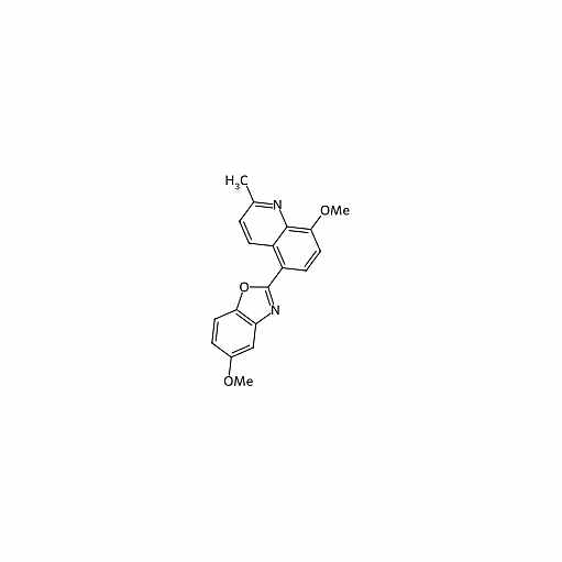 COc1ccc2oc(-c3ccc(OC)c4nc(C)ccc34)nc2c1